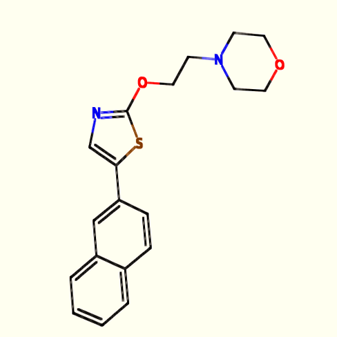 c1ccc2cc(-c3cnc(OCCN4CCOCC4)s3)ccc2c1